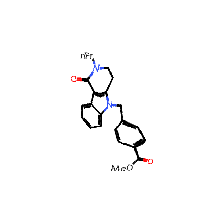 CCCN1CCc2c(c3ccccc3n2Cc2ccc(C(=O)OC)cc2)C1=O